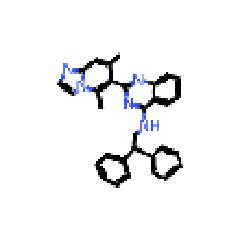 Cc1cc2nccn2c(C)c1-c1nc(NCC(c2ccccc2)c2ccccc2)c2ccccc2n1